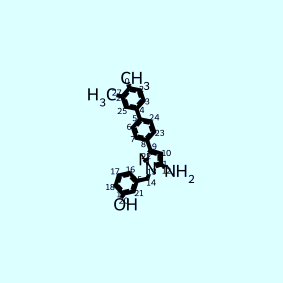 Cc1ccc(-c2ccc(-c3cc(N)n(Cc4cccc(O)c4)n3)cc2)cc1C